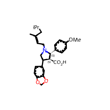 COc1ccc([C@@H]2[C@@H](C(=O)O)C(c3ccc4c(c3)OCO4)CN2CC=C(C)CC(C)C)cc1